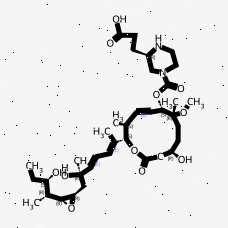 CC[C@H](O)[C@@H](C)[C@H]1O[C@@H]1C[C@@](C)(O)/C=C/C=C(\C)[C@H]1OC(=O)C[C@H](O)CC[C@@](C)(OC)[C@@H](OC(=O)N2CCN[C@H](CCC(=O)O)C2)/C=C/[C@@H]1C